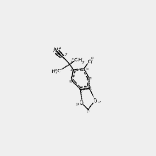 CC(C)(C#N)c1cc2c(cc1Cl)OCO2